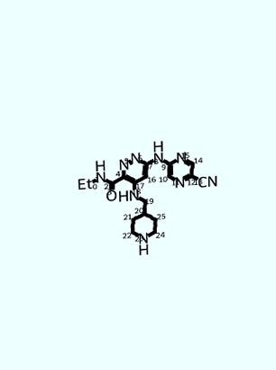 CCNC(=O)c1nnc(Nc2cnc(C#N)cn2)cc1NCC1CCNCC1